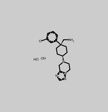 Cl.Cl.NC[C@]1(c2cccc(Cl)c2)CC[C@H](N2CCn3ncnc3C2)CC1